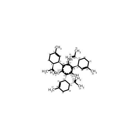 C=C(C)[C@H]1CCC(C)=C[C@H]1c1c(O)c([C@H]2C=C(C)CC[C@H]2C(=C)C)c(O)c([C@@H]2C=C(C)CC[C@H]2C(=C)C)c1O